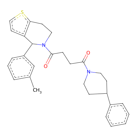 Cc1cccc(C2c3ccsc3CCN2C(=O)CCC(=O)N2CCC(c3ccccc3)CC2)c1